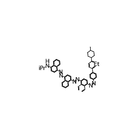 C=Cc1c(N=Nc2ccc(N=Nc3ccc(NC(C)C)c4ccccc34)c3ccccc23)ccc(/N=N\c2ccc(C(/C=C\C(=C)C3CCC(C)CC3)=C/CC)cc2)c1C=C